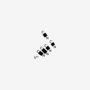 [C-]#N.[C-]#N.[C-]#N.[C-]#N.[C-]#N.[V+5]